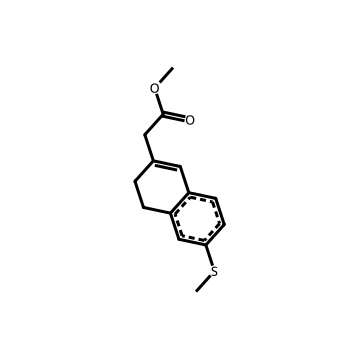 COC(=O)CC1=Cc2ccc(SC)cc2CC1